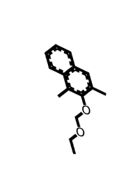 CCOCOc1c(C)cc2ccccc2c1C